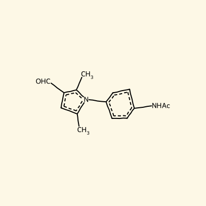 CC(=O)Nc1ccc(-n2c(C)cc(C=O)c2C)cc1